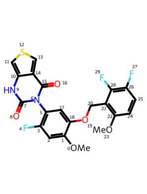 COc1cc(F)c(-n2c(=O)[nH]c3cscc3c2=O)cc1OCc1c(OC)ccc(F)c1F